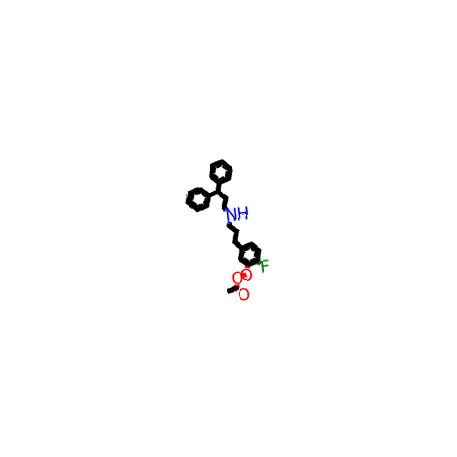 CC(=O)OOc1cc(CCCNCCC(c2ccccc2)c2ccccc2)ccc1F